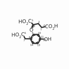 O=C(O)CCC(=O)C(=O)O.O=C(O)Cc1ccc(O)cc1